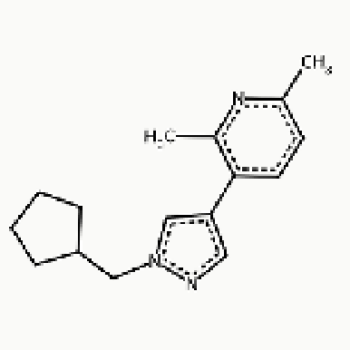 Cc1ccc(-c2cnn(CC3CCCC3)c2)c(C)n1